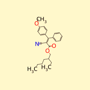 CCCCC(CC)COC(=O)C(C#N)=C(c1ccccc1)c1ccc(OC)cc1